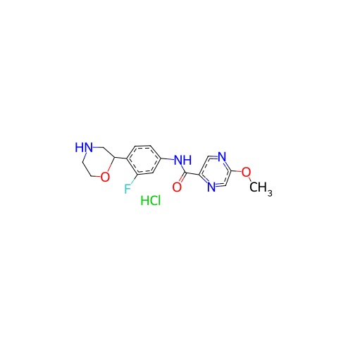 COc1cnc(C(=O)Nc2ccc(C3CNCCO3)c(F)c2)cn1.Cl